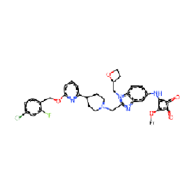 CCOc1c(Nc2ccc3c(c2)nc(CN2CCC(c4cccc(OCc5ccc(Cl)cc5F)n4)CC2)n3CC2CCO2)c(=O)c1=O